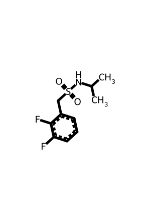 CC(C)NS(=O)(=O)Cc1cccc(F)c1F